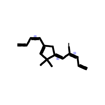 C=C/C=C\C1=CC(C)(C)/C(=C/C(I)=C\C=C)C1